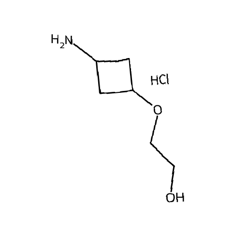 Cl.NC1CC(OCCO)C1